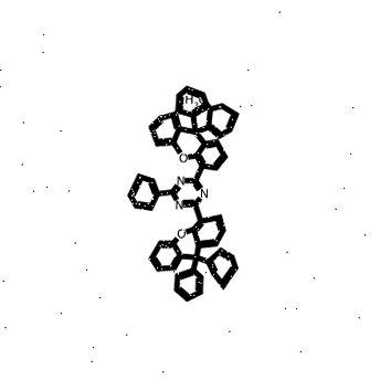 CC1CC=CC=C1C1(c2ccccc2)c2ccccc2Oc2c(-c3nc(-c4ccccc4)nc(-c4cccc5c4Oc4ccccc4C5(c4ccccc4)c4ccccc4)n3)cccc21